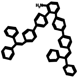 Nc1cccc(-c2ccc(-c3ccc(C=C(c4ccccc4)c4ccccc4)cc3)cc2)c1-c1ccc(-c2ccc(C=C(c3ccccc3)c3ccccc3)cc2)cc1